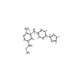 CC(C)CNc1ccc([N+](=O)[O-])c(Nc2ccc(-n3ccnc3)cc2)n1